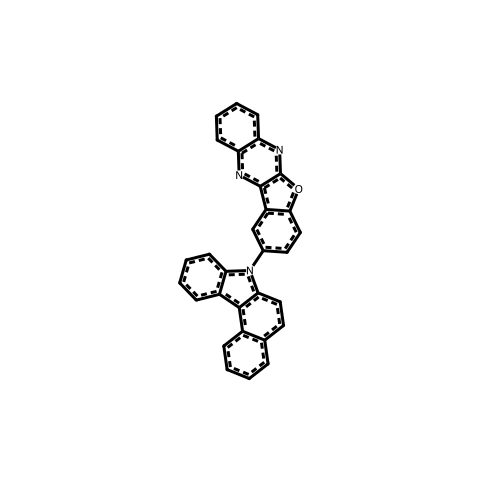 c1ccc2c(c1)ccc1c2c2ccccc2n1-c1ccc2oc3nc4ccccc4nc3c2c1